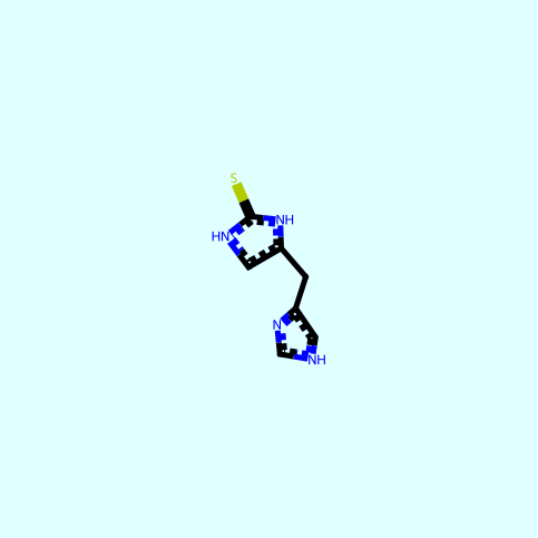 S=c1[nH]cc(Cc2c[nH]cn2)[nH]1